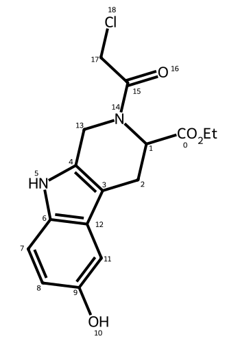 CCOC(=O)C1Cc2c([nH]c3ccc(O)cc23)CN1C(=O)CCl